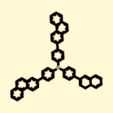 C1=CC2=CC(c3ccc(N(c4ccc(-c5ccc6c(ccc7ccccc76)c5)cc4)c4ccc(-c5ccc6c(ccc7ccccc76)c5)cc4)cc3)=CCC2C=C1